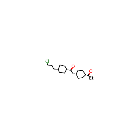 CCC(=O)[C@H]1CC[C@H](CC(=O)[C@H]2CC[C@H](CCCCl)CC2)CC1